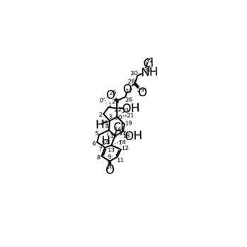 C[C@H]1C[C@H]2[C@@H]3CCC4=CC(=O)C=C[C@]4(C)[C@@]3(Cl)[C@@H](O)C[C@]2(C)[C@@]1(O)C(=O)COC(=O)CNCl